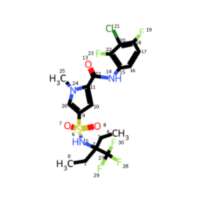 CCC(CC)(NS(=O)(=O)c1cc(C(=O)Nc2ccc(F)c(Cl)c2F)n(C)c1)C(F)(F)F